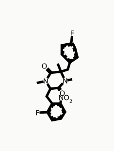 CN1C(=O)C(C)(Cc2ccc(F)cc2)N(C)C(=O)C1Cc1c(F)cccc1[N+](=O)[O-]